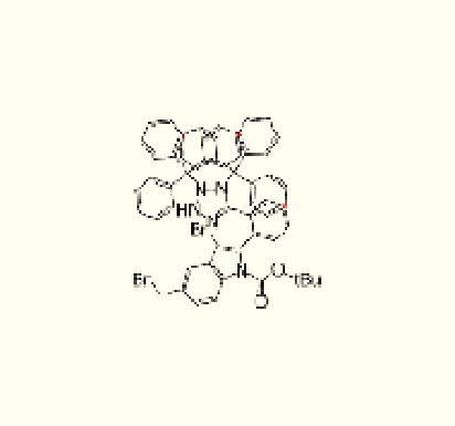 CC(C)(C)OC(=O)n1c(-c2ccccc2C2=NNN(C(c3ccccc3)(c3ccccc3)c3ccccc3)N2C(c2ccccc2)(c2ccccc2)c2ccccc2)c(Br)c2cc(CBr)ccc21